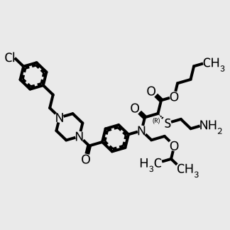 CCCCOC(=O)[C@H](SCCN)C(=O)N(CCOC(C)C)c1ccc(C(=O)N2CCN(CCc3ccc(Cl)cc3)CC2)cc1